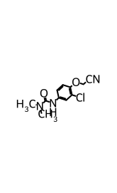 CN(C)C(=O)Nc1ccc(OCC#N)c(Cl)c1